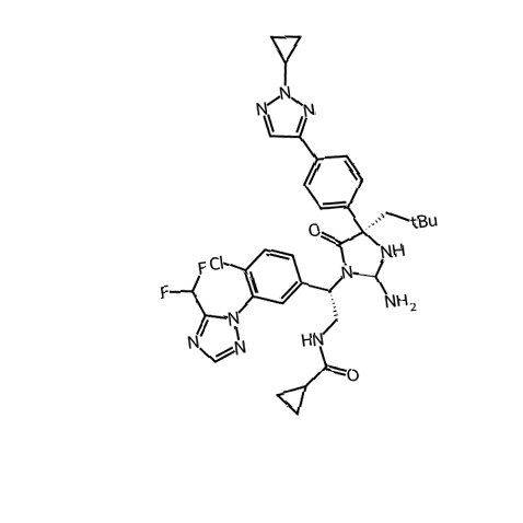 CC(C)(C)C[C@]1(c2ccc(-c3cnn(C4CC4)n3)cc2)NC(N)N([C@H](CNC(=O)C2CC2)c2ccc(Cl)c(-n3ncnc3C(F)F)c2)C1=O